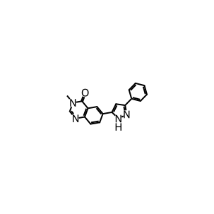 Cn1cnc2ccc(-c3cc(-c4ccccc4)n[nH]3)cc2c1=O